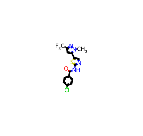 Cn1nc(C(F)(F)F)cc1-c1cnc(NC(=O)c2ccc(Cl)cc2)s1